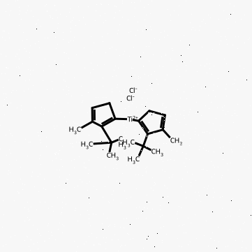 CC1=CC[C]([Ti+2][C]2=C(C(C)(C)C)C(C)=CC2)=C1C(C)(C)C.[Cl-].[Cl-]